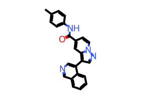 Cc1ccc(NC(=O)c2ccn3ncc(-c4cncc5ccccc45)c3c2)cc1